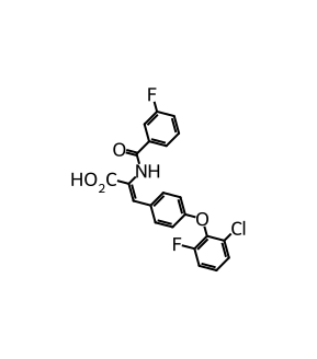 O=C(O)C(=Cc1ccc(Oc2c(F)cccc2Cl)cc1)NC(=O)c1cccc(F)c1